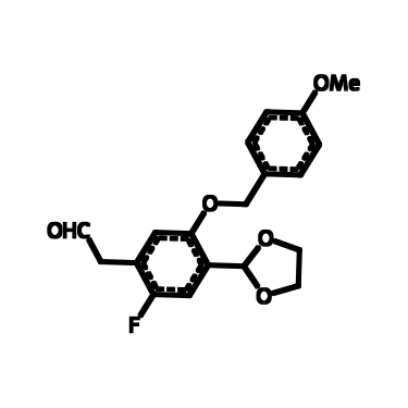 COc1ccc(COc2cc(CC=O)c(F)cc2C2OCCO2)cc1